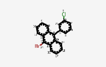 Clc1cccc(-c2c3ccccc3c(Br)c3ccccc23)c1